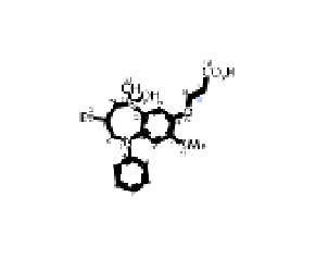 CCC1CN(c2ccccc2)c2cc(SC)c(O/C=C/C(=O)O)cc2S(O)(O)C1